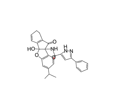 CC(C)c1ccc2c(c1)OC1(O)C3=C(CCC=C3)C(=O)C21NC(=O)c1cc(-c2ccccc2)n[nH]1